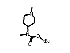 CN1CCC(N(C)C(=O)OC(C)(C)C)CC1